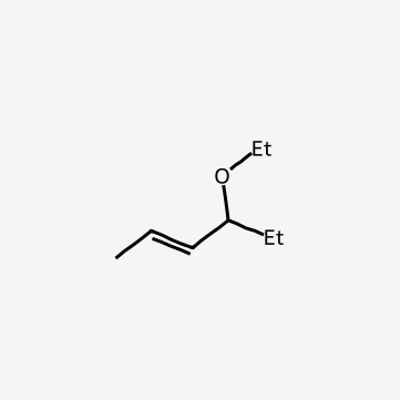 C/C=C/C(CC)OCC